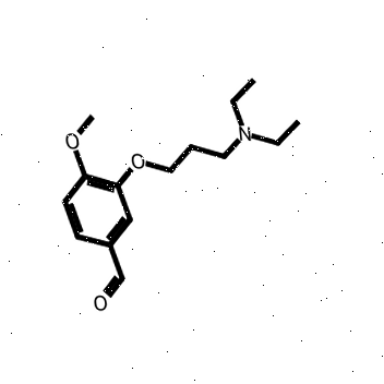 CCN(CC)CCCOc1cc(C=O)ccc1OC